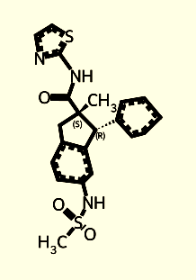 C[C@]1(C(=O)Nc2nccs2)Cc2ccc(NS(C)(=O)=O)cc2[C@H]1c1ccccc1